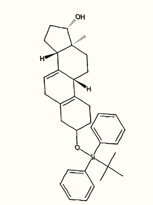 CC(C)(C)[Si](OC1CCC2=C(CC=C3[C@@H]2CC[C@]2(C)[C@@H](O)CC[C@@H]32)C1)(c1ccccc1)c1ccccc1